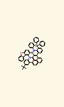 CC(C)(C)c1ccc(N2c3cc4ccccc4c4c3B(c3ccc5oc6ccccc6c5c32)N2c3ccccc3[Si](c3ccccc3)(c3ccccc3)c3cccc-4c32)c(-c2ccccc2)c1